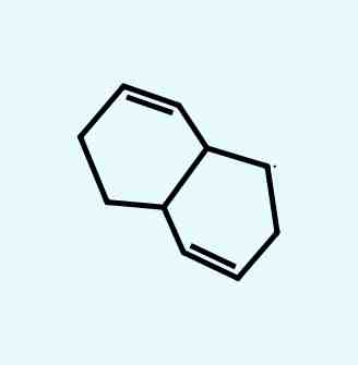 [CH]1CC=CC2CCC=CC12